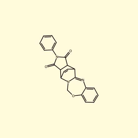 O=C1C2C3C=CC(C2C(=O)N1c1ccccc1)N1COc2ccccc2N=C31